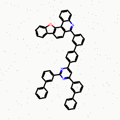 c1ccc(-c2cccc(-c3cc(-c4ccc(-c5cccc(-c6nc7ccccc7c7c6ccc6c8ccccc8oc67)c5)cc4)nc(-c4cccc(-c5ccccc5)c4)n3)c2)cc1